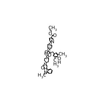 CCCOC(=O)c1ccc(N2CCN(C(=O)[C@@H](Cc3cc(C)c(O)c(C)c3)OC(=O)N3CCC(N(C=O)CCc4ccccc4NC)CC3)CC2)nc1